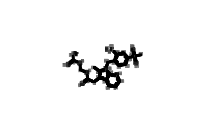 Cc1c(CC(=O)OCOC(=O)C(C)C)c2cccnc2n1Cc1ccc(S(C)(=O)=O)cc1C(F)(F)F